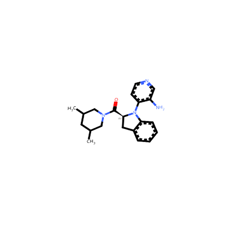 CC1CC(C)CN(C(=O)[C@@H]2Cc3ccccc3N2c2ccncc2N)C1